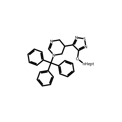 CCCCCCCOc1nsnc1C1CN=CN(C(c2ccccc2)(c2ccccc2)c2ccccc2)C1